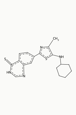 Cc1nc(-c2ccc3c(=S)[nH]cnc3c2)sc1NC1CCCCC1